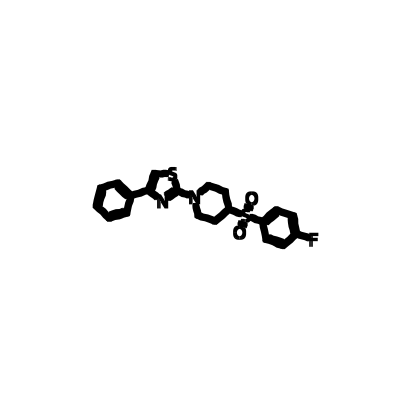 O=S(=O)(c1ccc(F)cc1)C1CCN(c2nc(-c3ccccc3)cs2)CC1